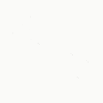 Cn1c(C2CCN(C(=O)OC(C)(C)C)CC2)cc2nc(Cl)cnc21